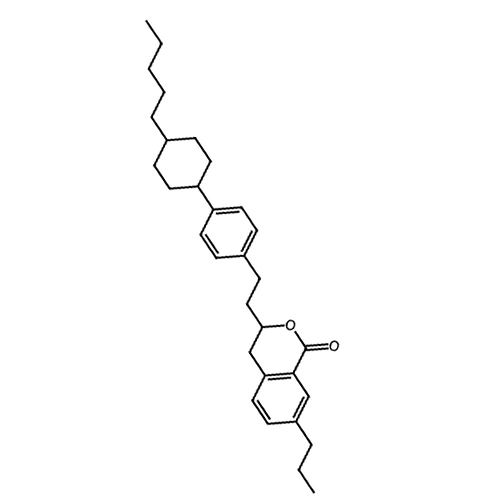 CCCCCC1CCC(c2ccc(CCC3Cc4ccc(CCC)cc4C(=O)O3)cc2)CC1